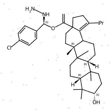 C=C(O[C@H](NN)c1ccc(Cl)cc1)C12CCC(C(C)C)=C1C1CC[C@@H]3C4(C)CC[C@H](O)C(C)(C)[C@@H]4CCC3(C)[C@]1(C)CC2